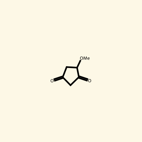 COC1CC(=O)CC1=O